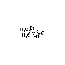 CCC(C)(C)C1COC(=O)C1